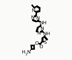 Cc1cccc(-c2nccc(Nc3ccnc(Nc4csc(C(=O)O[C@H]5C[C@H](N)C5)c4)n3)n2)n1